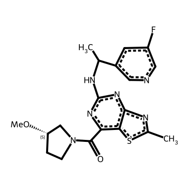 CO[C@H]1CCN(C(=O)c2nc(NC(C)c3cncc(F)c3)nc3nc(C)sc23)C1